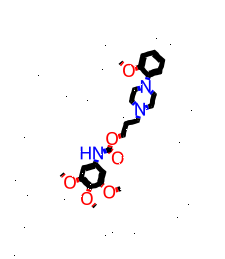 COc1ccccc1N1CCN(CCCOC(=O)Nc2cc(OC)c(OC)c(OC)c2)CC1